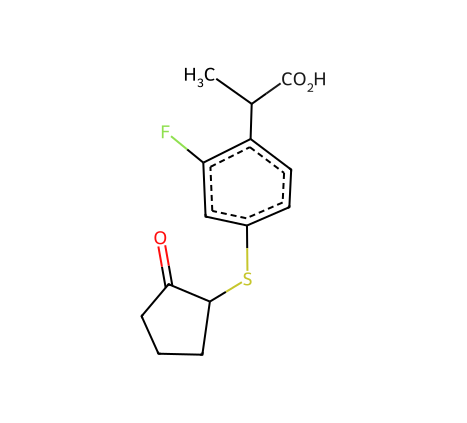 CC(C(=O)O)c1ccc(SC2CCCC2=O)cc1F